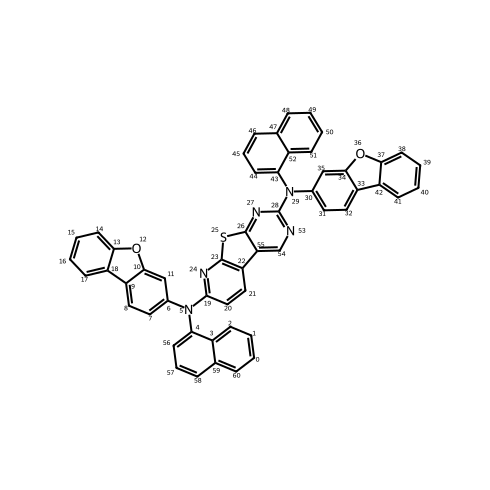 c1ccc2c(N(c3ccc4c(c3)oc3ccccc34)c3ccc4c(n3)sc3nc(N(c5ccc6c(c5)oc5ccccc56)c5cccc6ccccc56)ncc34)cccc2c1